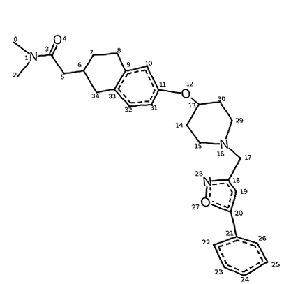 CN(C)C(=O)CC1CCc2cc(OC3CCN(Cc4cc(-c5ccccc5)on4)CC3)ccc2C1